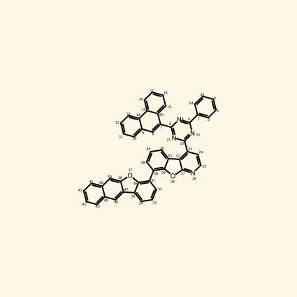 c1ccc(-c2nc(-c3cc4ccccc4c4ccccc34)nc(-c3ccnc4oc5c(-c6cccc7c6oc6cc8ccccc8cc67)cccc5c34)n2)cc1